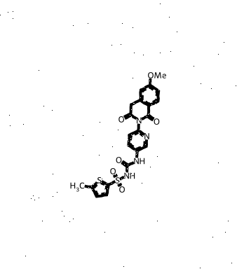 COc1ccc2c(c1)CC(=O)N(c1ccc(NC(=O)NS(=O)(=O)c3ccc(C)s3)cn1)C2=O